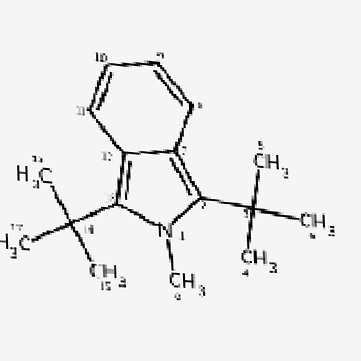 Cn1c(C(C)(C)C)c2ccccc2c1C(C)(C)C